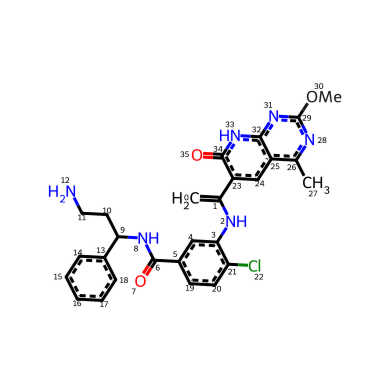 C=C(Nc1cc(C(=O)NC(CCN)c2ccccc2)ccc1Cl)c1cc2c(C)nc(OC)nc2[nH]c1=O